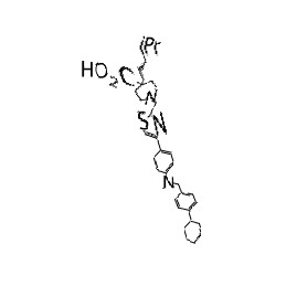 CC(C)CCC1(C(=O)O)CCN(Cc2nc(-c3ccc(N(C)Cc4ccc(C5CCCCC5)cc4)cc3)cs2)CC1